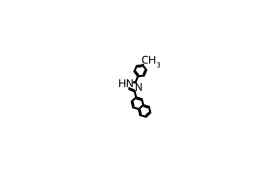 Cc1ccc(-c2nc(-c3ccc4ccccc4c3)c[nH]2)cc1